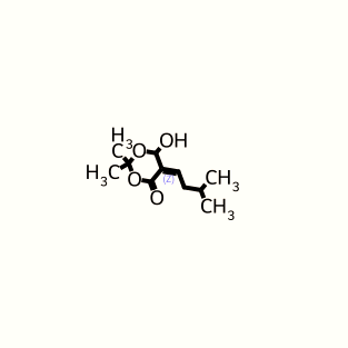 CC(C)C/C=C1\C(=O)OC(C)(C)OC1O